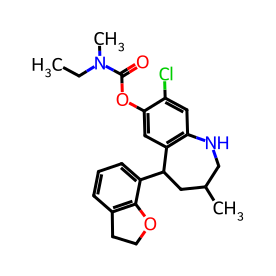 CCN(C)C(=O)Oc1cc2c(cc1Cl)NCC(C)CC2c1cccc2c1OCC2